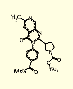 CNC(=O)c1ccc(-n2c(C3CCN(C(=O)OC(C)(C)C)C3)nc3cnc(C)cc3c2=O)cc1